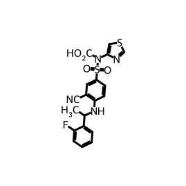 CC(Nc1ccc(S(=O)(=O)N(C(=O)O)c2cscn2)cc1C#N)c1ccccc1F